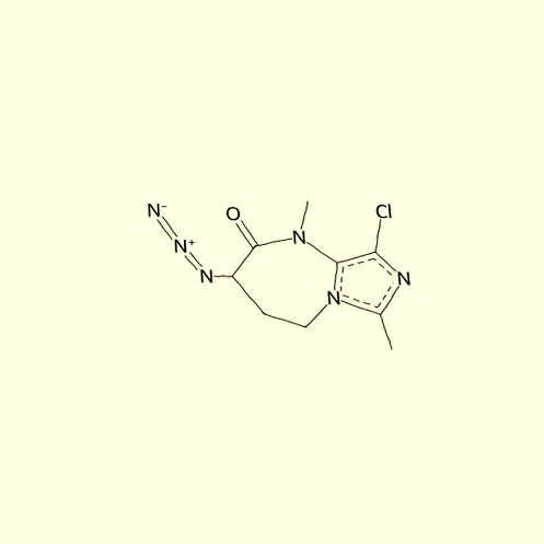 Cc1nc(Cl)c2n1CCC(N=[N+]=[N-])C(=O)N2C